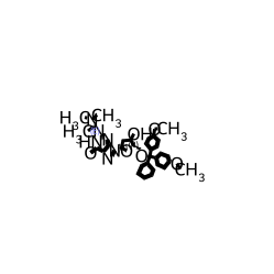 COc1ccc(C(OC[C@H]2O[C@@H](n3cnc4c(=O)[nH]c(/N=C(\C)N(C)C)nc43)CC2O)(c2ccccc2)c2ccc(OC)cc2)cc1